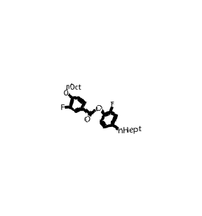 CCCCCCCCOc1ccc(C(=O)Oc2ccc(CCCCCCC)cc2F)cc1F